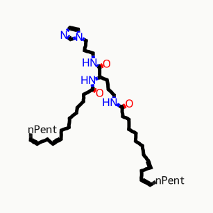 CCCCC/C=C\C/C=C\CCCCCCCC(=O)NCCCC(NC(=O)CCCCCCC/C=C\C/C=C\CCCCC)C(=O)NCCCn1ccnc1